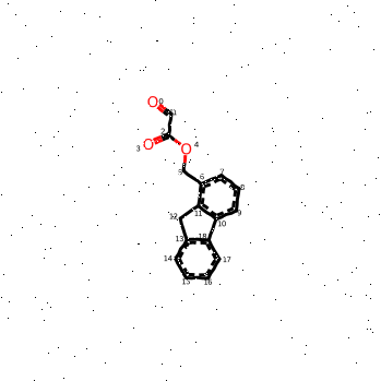 O=[C]C(=O)OCc1cccc2c1Cc1ccccc1-2